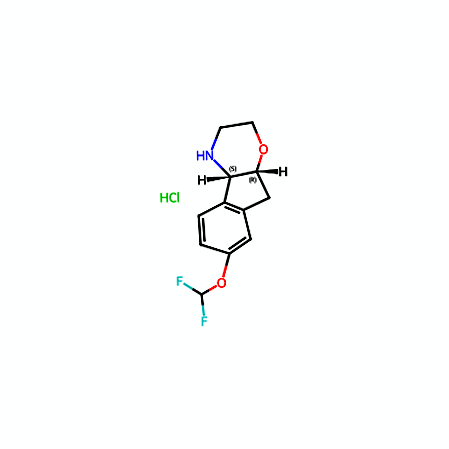 Cl.FC(F)Oc1ccc2c(c1)C[C@H]1OCCN[C@@H]21